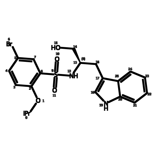 CC(C)Oc1ccc(Br)cc1S(=O)(=O)N[C@@H](CO)Cc1c[nH]c2ccccc12